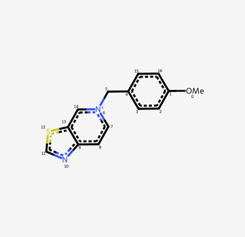 COc1ccc(C[n+]2ccc3ncsc3c2)cc1